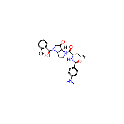 CC(C)C[C@H](NC(=O)c1ccc(N(C)C)cc1)C(=O)N1CCC2[C@H]1C(=O)CN2C(=O)c1ccccc1C(F)(F)F